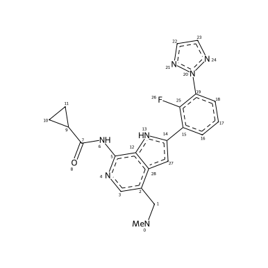 CNCc1cnc(NC(=O)C2CC2)c2[nH]c(-c3cccc(-n4nccn4)c3F)cc12